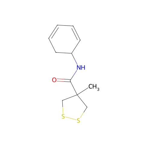 CC1(C(=O)NC2C=CC=CC2)CSSC1